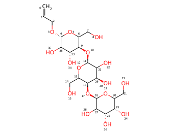 C=CCO[C@@H]1OC(CO)[C@@H](O[C@@H]2OC(CO)[C@H](O[C@H]3OC(CO)[C@H](O)[C@H](O)C3O)[C@H](O)C2O)[C@H](O)C1O